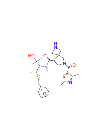 Cc1nc(C)c(C(=O)N2C[C@@H](C(=O)NC([C@@H](C)OCC34CCC(CC3)OC4)C(C)(C)O)C3(CNC3)C2)s1